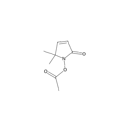 CC(=O)ON1C(=O)C=CC1(C)C